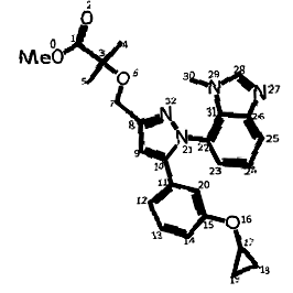 COC(=O)C(C)(C)OCc1cc(-c2cccc(OC3CC3)c2)n(-c2cccc3ncn(C)c23)n1